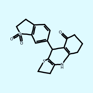 O=C1CCCC2=C1C(c1ccc3c(c1)S(=O)(=O)CC3)C1=C(CCS1)N2